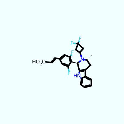 C[C@@H]1Cc2c([nH]c3ccccc23)[C@@H](c2c(F)cc(/C=C/C(=O)O)cc2F)N1C1CC(F)(F)C1